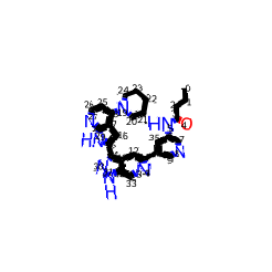 CCCC(=O)Nc1cncc(-c2cc3c(-c4cc5c(N6CCCCC6)ccnc5[nH]4)n[nH]c3cn2)c1